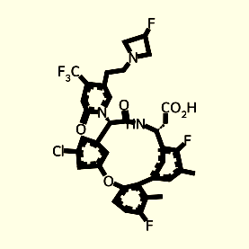 Cc1cc2cc(c1F)[C@@H](CC(=O)O)NC(=O)[C@H](n1cc(CCN3CC(F)C3)c(C(F)(F)F)cc1=O)c1cc(Cl)cc(c1)Oc1ccc(F)c(C)c1-2